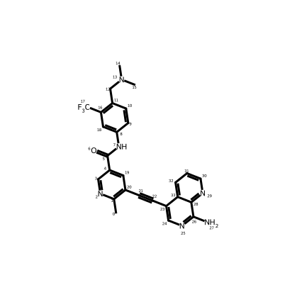 Cc1ncc(C(=O)Nc2ccc(CN(C)C)c(C(F)(F)F)c2)cc1C#Cc1cnc(N)c2ncccc12